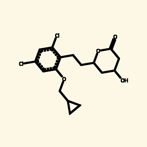 O=C1CC(O)CC(CCc2c(Cl)cc(Cl)cc2OCC2CC2)O1